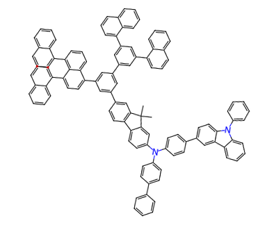 CC1(C)c2cc(-c3cc(-c4cc(-c5cccc6ccccc56)cc(-c5cccc6ccccc56)c4)cc(-c4ccc(-c5cccc6ccccc56)c5c(-c6cccc7ccccc67)cccc45)c3)ccc2-c2ccc(N(c3ccc(-c4ccccc4)cc3)c3ccc(-c4ccc5c(c4)c4ccccc4n5-c4ccccc4)cc3)cc21